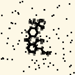 CCOCc1nccc(NC2CCC(C(C)(C)CC)CC2)c1OCC